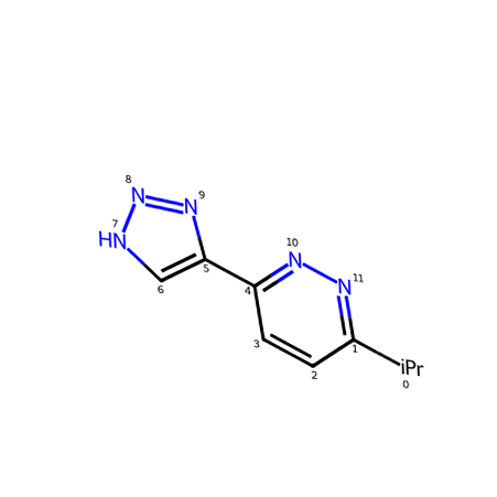 CC(C)c1ccc(-c2c[nH]nn2)nn1